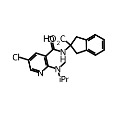 CC(C)N(C)c1ncc(Cl)cc1C(=O)NC1(C(=O)O)Cc2ccccc2C1